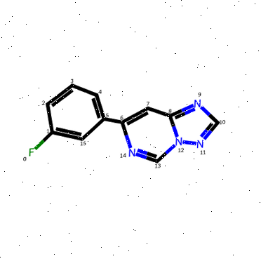 Fc1cccc(-c2cc3ncnn3cn2)c1